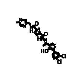 C/C(=N\NC(=O)c1ccc(C(=O)NCc2cnc(C)cn2)s1)c1csc(-c2ccc(Cl)c(Cl)c2)c1O